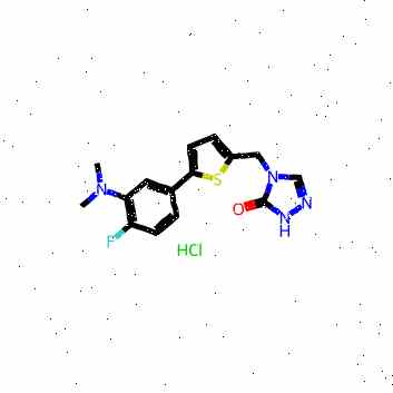 CN(C)c1cc(-c2ccc(Cn3cn[nH]c3=O)s2)ccc1F.Cl